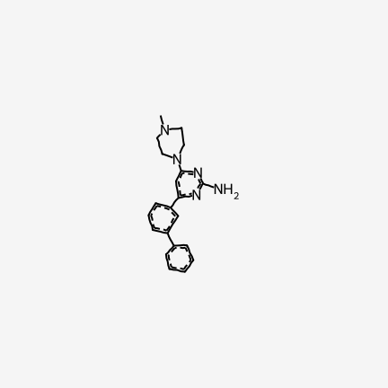 CN1CCN(c2cc(-c3cccc(-c4ccccc4)c3)nc(N)n2)CC1